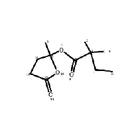 CCC(C)(I)C(=O)OC1(C)CCC(=O)O1